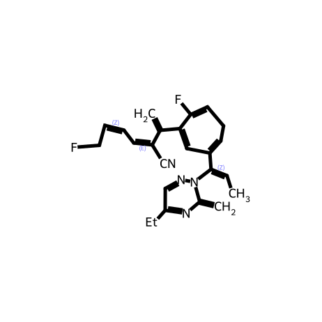 C=C(C1=CC(/C(=C/C)N2N=CC(CC)=NC2=C)=CCC=C1F)/C(C#N)=C\C=C/CF